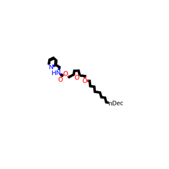 CCCCCCCCCCCCCCCCCCOCC1CCC(COC(=O)NCc2ccccn2)O1